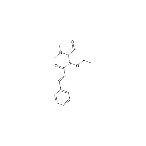 CCON(C(=O)C=Cc1ccccc1)C([C]=O)N(C)C